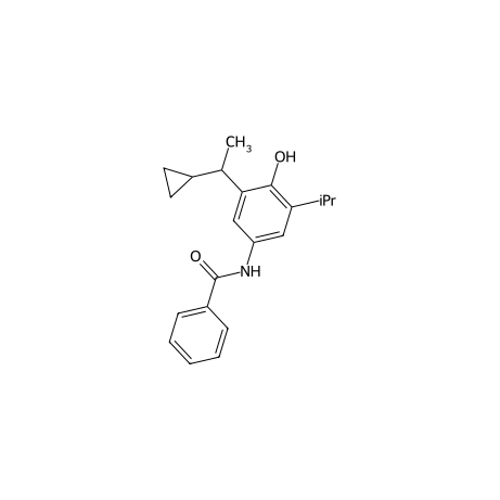 CC(C)c1cc(NC(=O)c2ccccc2)cc(C(C)C2CC2)c1O